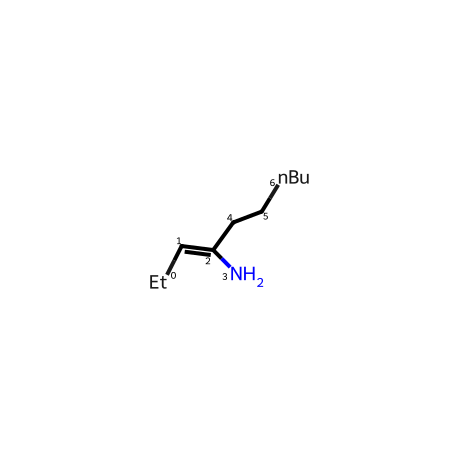 [CH2]CC=C(N)CCCCCC